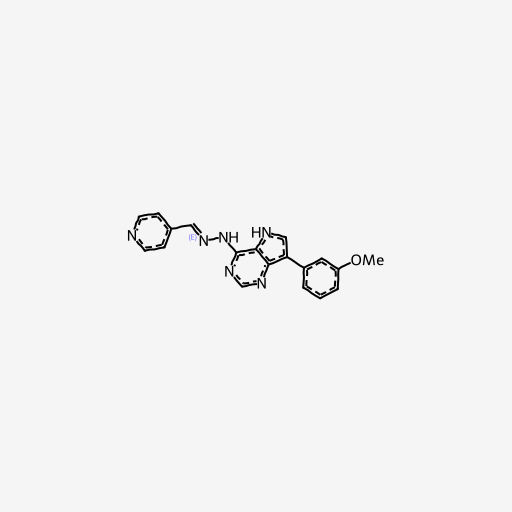 COc1cccc(-c2c[nH]c3c(N/N=C/c4ccncc4)ncnc23)c1